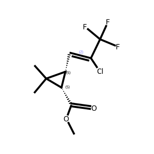 COC(=O)[C@H]1[C@@H](/C=C(\Cl)C(F)(F)F)C1(C)C